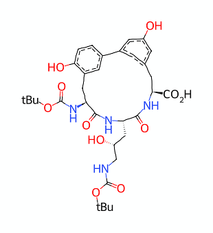 CC(C)(C)OC(=O)NC[C@H](O)C[C@@H]1NC(=O)[C@@H](NC(=O)OC(C)(C)C)Cc2cc(ccc2O)-c2cc(O)cc(c2)C[C@@H](C(=O)O)NC1=O